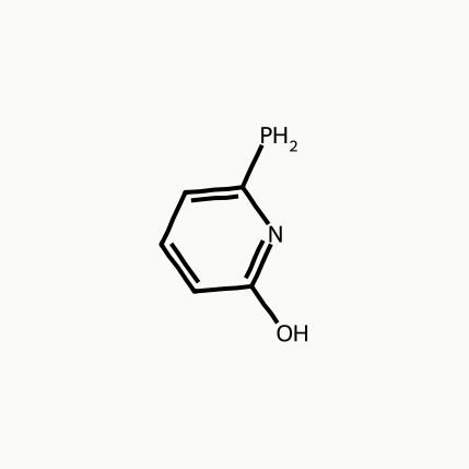 Oc1cccc(P)n1